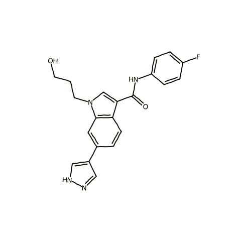 O=C(Nc1ccc(F)cc1)c1cn(CCCO)c2cc(-c3cn[nH]c3)ccc12